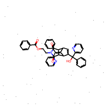 O=C(OCCN1C(=O)C2C3C=C(C(O)(c4ccccc4)c4ccccn4)C(C3=C(c3ccccc3)c3ccccn3)C2C1=O)c1ccccc1